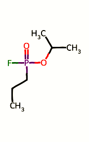 CCCP(=O)(F)OC(C)C